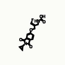 O=C(O)NCC(=CF)COc1ccc2c(c1)C(=O)N(C1CC1)C2=O